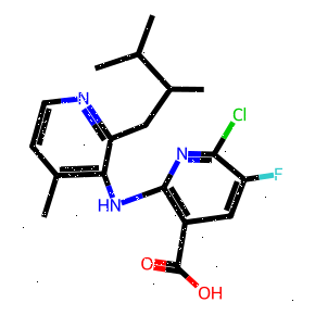 Cc1ccnc(CC(C)C(C)C)c1Nc1nc(Cl)c(F)cc1C(=O)O